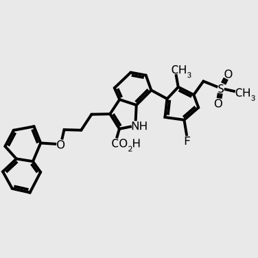 Cc1c(CS(C)(=O)=O)cc(F)cc1-c1cccc2c(CCCOc3cccc4ccccc34)c(C(=O)O)[nH]c12